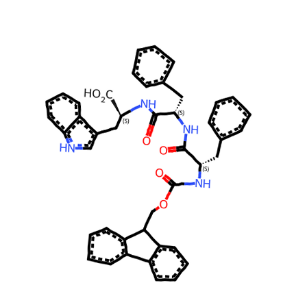 O=C(N[C@@H](Cc1ccccc1)C(=O)N[C@@H](Cc1ccccc1)C(=O)N[C@@H](Cc1c[nH]c2ccccc12)C(=O)O)OCC1c2ccccc2-c2ccccc21